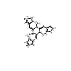 CC1C(=Cc2c[nH]nn2)C(C)C(=Cc2c[nH]nn2)C(C)C1=Cc1c[nH]nn1